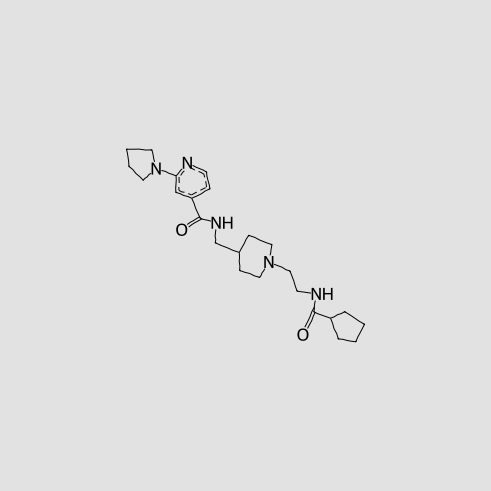 O=C(NCC1CCN(CCNC(=O)C2CCCC2)CC1)c1ccnc(N2CCCC2)c1